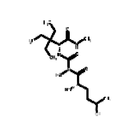 CCC(CC)(CC)[C@@H](NC(=O)N(O)C(=O)[C@@H](O)CCC(C)C)C(=O)NC